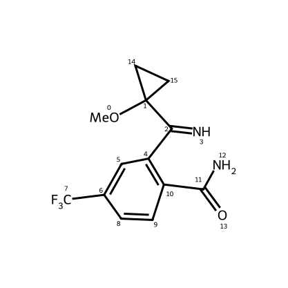 COC1(C(=N)c2cc(C(F)(F)F)ccc2C(N)=O)CC1